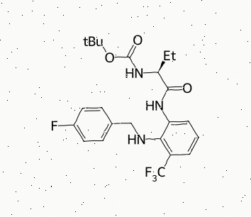 CC[C@H](NC(=O)OC(C)(C)C)C(=O)Nc1cccc(C(F)(F)F)c1NCc1ccc(F)cc1